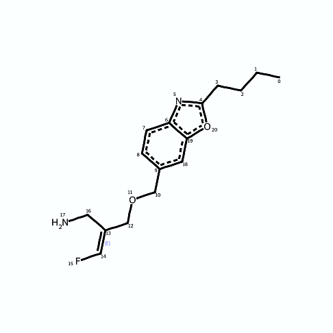 CCCCc1nc2ccc(COC/C(=C/F)CN)cc2o1